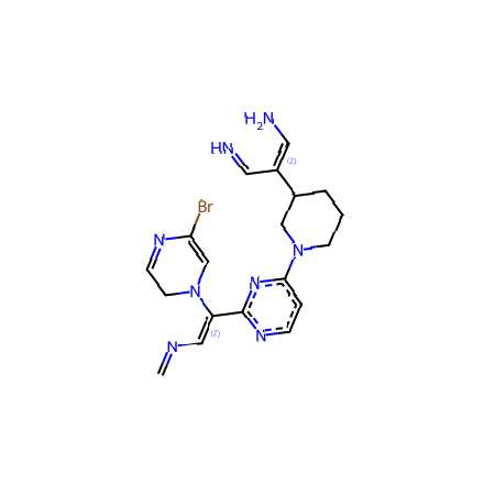 C=N/C=C(/c1nccc(N2CCCC(/C(C=N)=C/N)C2)n1)N1C=C(Br)N=CC1